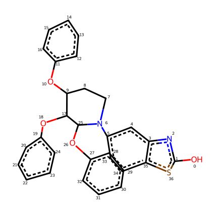 Oc1nc2cc(N3CCC(Oc4ccccc4)C(Oc4ccccc4)C3Oc3ccccc3)ccc2s1